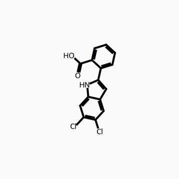 O=C(O)c1ccccc1-c1cc2cc(Cl)c(Cl)cc2[nH]1